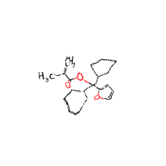 C=C(C)C(=O)OC(c1ccco1)(C1CCCCC1)C1CCCC1